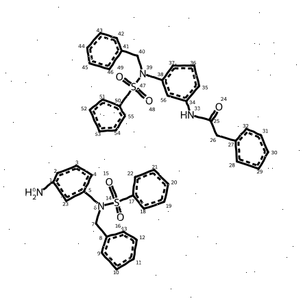 Nc1cccc(N(Cc2ccccc2)S(=O)(=O)c2ccccc2)c1.O=C(Cc1ccccc1)Nc1cccc(N(Cc2ccccc2)S(=O)(=O)c2ccccc2)c1